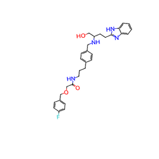 O=C(COCc1ccc(F)cc1)NCCCc1ccc(CNC(CO)CCc2nc3ccccc3[nH]2)cc1